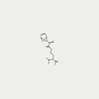 CPC(CCCNC(=O)C1CC2C=CC1C2)P(C)C